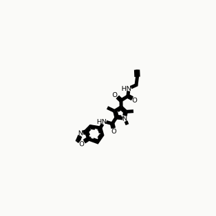 C#CCNC(=O)C(=O)c1c(C)c(C(=O)Nc2ccc3ocnc3c2)n(C)c1C